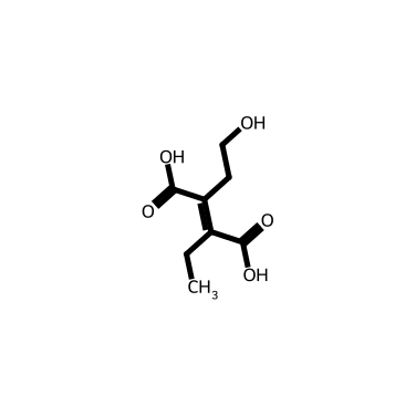 CC/C(C(=O)O)=C(/CCO)C(=O)O